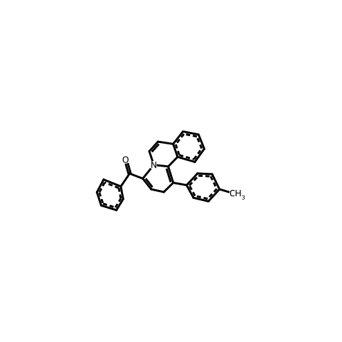 Cc1ccc(C2=C3c4ccccc4C=CN3C(C(=O)c3ccccc3)=CC2)cc1